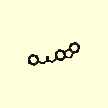 c1ccc(CNCc2ccc3c(c2)Cc2ccccc2-3)cc1